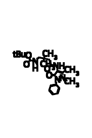 Cc1c(NC(=O)CC(C)(C)CNC(=O)OC(C)(C)C)c(=O)n(-c2ccccc2)n1C